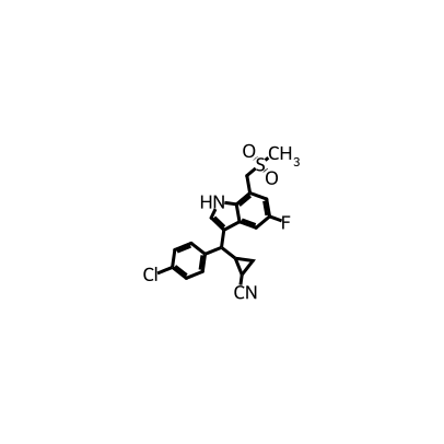 CS(=O)(=O)Cc1cc(F)cc2c(C(c3ccc(Cl)cc3)C3CC3C#N)c[nH]c12